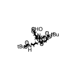 CC(C)(C)OC(=O)NCCCC[C@@H](C(=O)N1CCN(C(=O)OC(C)(C)C)CC1)n1cc(CCOC=O)nn1